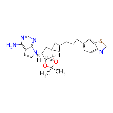 CC1(C)O[C@H]2[C@H](n3ccc4c(N)ncnc43)CC3(CC(CCCc4ccc5ncsc5c4)C3)[C@H]2O1